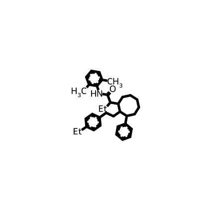 CCc1ccc(CCC2C(c3ccccc3)CCCCCC2C(CC)C(=O)Nc2c(C)cccc2C)cc1